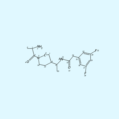 CC(N)C(=O)N1CCC(C(C)NC(=O)Cc2cc(F)cc(F)c2)CC1